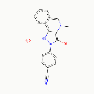 CN1C=c2ccccc2=C2NN(c3ccc(C#N)cc3)C(O)=C21.O